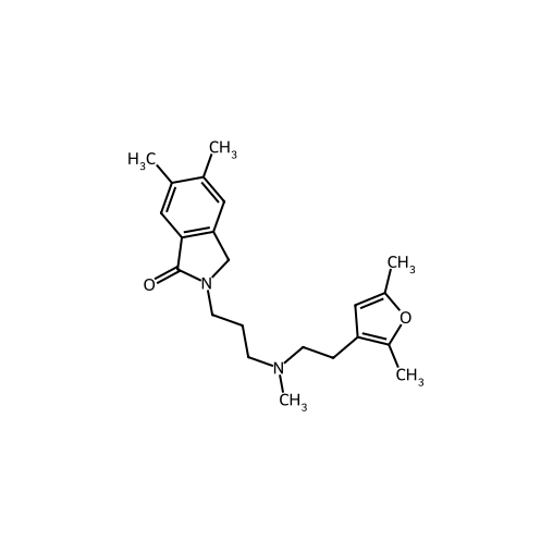 Cc1cc(CCN(C)CCCN2Cc3cc(C)c(C)cc3C2=O)c(C)o1